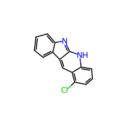 Clc1cccc2[nH]c3nc4ccccc4c-3cc12